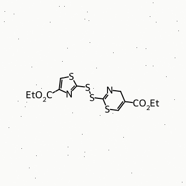 CCOC(=O)C1=CSC(SSc2nc(C(=O)OCC)cs2)=NC1